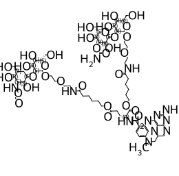 CN(Cc1cnc2nc(N)nc(N)c2n1)c1ccc(C(=O)N[C@H](CCC(=O)OCCCCCC(=O)NCCOCCOC2O[C@@H](CO)[C@@H](O)[C@H](O)[C@@H]2O[C@H]2C[C@H](CO)[C@@H](O)[C@H](NOC=O)[C@@H]2O)C(=O)OCCCCCC(=O)NCCOCCOC2O[C@H](CO)[C@H](O)[C@@H](O)[C@H]2O[C@@H]2O[C@@H](CO)[C@H](O)[C@@H](OC(N)=O)[C@H]2O)cc1